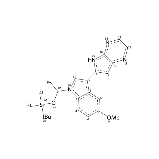 COc1ccc2c(c1)c(-c1cc3nccnc3[nH]1)cn2C(C)O[Si](C)(C)C(C)(C)C